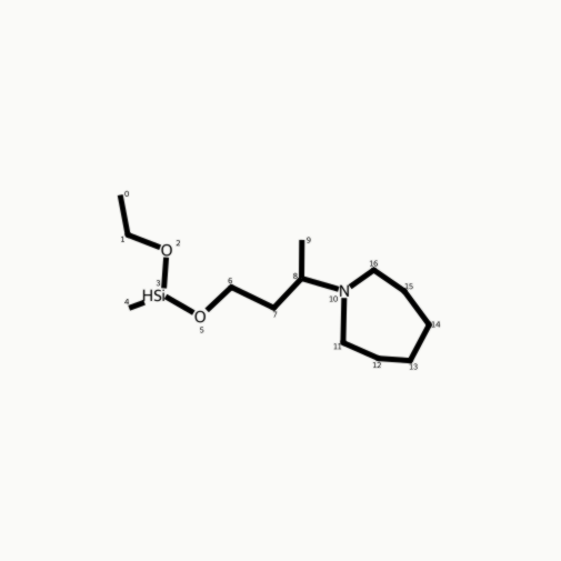 CCO[SiH](C)OCCC(C)N1CCCCCC1